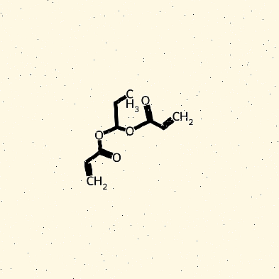 C=CC(=O)O[C](CC)OC(=O)C=C